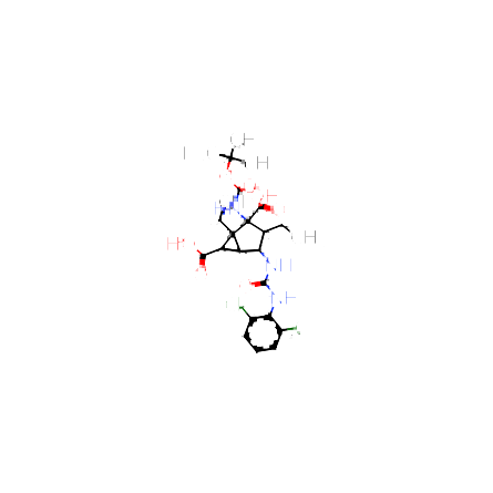 CCC1C(NC(=O)Nc2c(Cl)cccc2Cl)C2C(C(=O)O)C2(CC)C1(NC(=O)OC(C)(C)C)C(=O)O